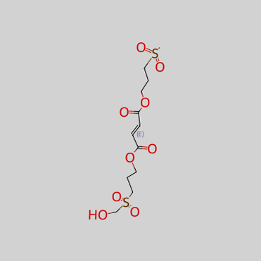 CS(=O)(=O)CCCOC(=O)/C=C/C(=O)OCCCS(=O)(=O)CO